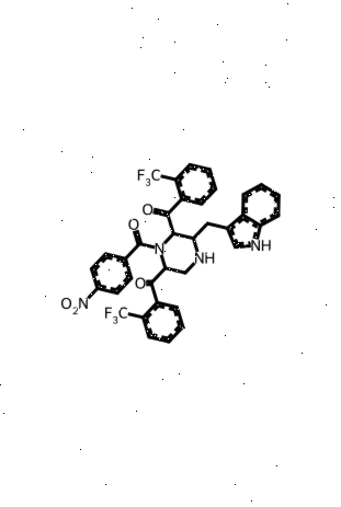 O=C(c1ccccc1C(F)(F)F)C1CNC(Cc2c[nH]c3ccccc23)C(C(=O)c2ccccc2C(F)(F)F)N1C(=O)c1ccc([N+](=O)[O-])cc1